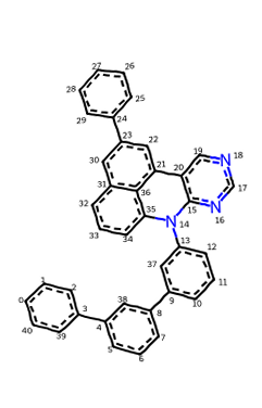 c1ccc(-c2cccc(-c3cccc(N4c5ncncc5-c5cc(-c6ccccc6)cc6cccc4c56)c3)c2)cc1